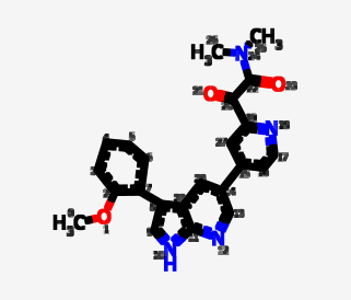 COc1ccccc1-c1c[nH]c2ncc(-c3ccnc(C(=O)C(=O)N(C)C)c3)cc12